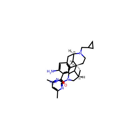 Cc1cc(C)nc(N2C[C@H]3C[C@@]45CCC2C3[C@@]42CCN(CC3CC3)[C@@H]5Cc3cc(N)c(C(N)=O)cc32)n1